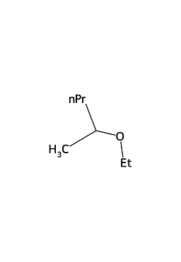 C[CH]CC(C)OCC